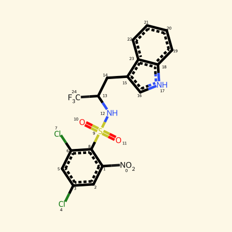 O=[N+]([O-])c1cc(Cl)cc(Cl)c1S(=O)(=O)NC(Cc1c[nH]c2ccccc12)C(F)(F)F